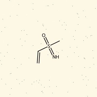 C=CS(C)(=N)=O